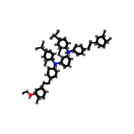 CCOc1cc(/C=C/c2ccc(N(c3cccc(N(c4ccc(/C=C/c5ccc(C)c(C)c5)cc4)c4ccc(C(C)C)cc4C)c3)c3ccc(C(C)C)cc3C)cc2)ccc1C